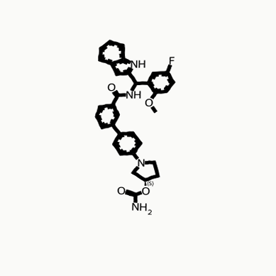 COc1ccc(F)cc1C(NC(=O)c1cccc(-c2ccc(N3CC[C@H](OC(N)=O)C3)cc2)c1)c1cc2ccccc2[nH]1